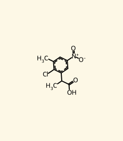 Cc1cc([N+](=O)[O-])cc(C(C)C(=O)O)c1Cl